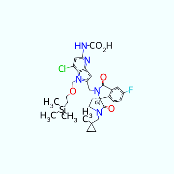 CC1(CN2CC[C@@]3(C2=O)c2ccc(F)cc2C(=O)N3Cc2cc3nc(NC(=O)O)cc(Cl)c3n2COCC[Si](C)(C)C)CC1